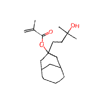 C=C(C)C(=O)OC1(CCC(C)(C)O)CC2CCCC(C2)C1